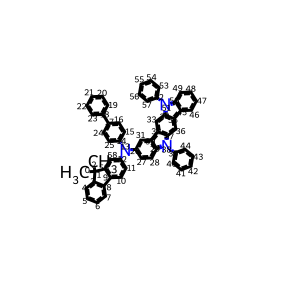 CC1(C)c2ccccc2-c2ccc(N(c3ccc(-c4ccccc4)cc3)c3ccc4c(c3)c3cc5c(cc3n4-c3ccccc3)c3ccccc3n5-c3ccccc3)cc21